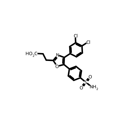 NS(=O)(=O)c1ccc(-c2oc(CCC(=O)O)nc2-c2ccc(Cl)c(Cl)c2)cc1